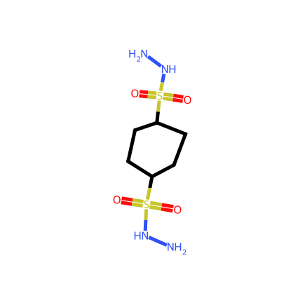 NNS(=O)(=O)C1CCC(S(=O)(=O)NN)CC1